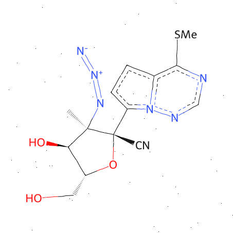 CSc1ncnn2c([C@]3(C#N)O[C@H](CO)[C@@H](O)[C@@]3(C)N=[N+]=[N-])ccc12